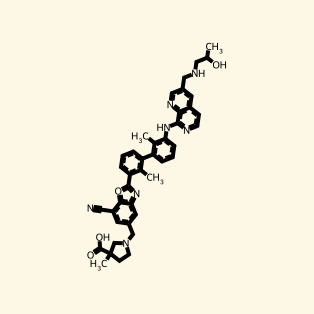 Cc1c(Nc2nccc3cc(CNCC(C)O)cnc23)cccc1-c1cccc(-c2nc3cc(CN4CCC(C)(C(=O)O)C4)cc(C#N)c3o2)c1C